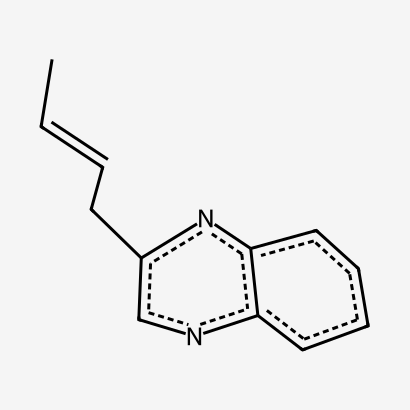 CC=CCc1cnc2ccccc2n1